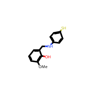 COc1cccc(CNc2ccc(S)cc2)c1O